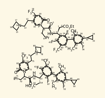 CCOC(=O)C[C@H](NC(=O)C(CC(C)C)n1cc(CCN2CCC2)c(C(F)(F)F)cc1=O)c1c(F)c(-c2c(C)cc(C3CC3)c(F)c2C)cc(C(F)(F)F)c1F.Cc1cc(C2CC2)c(F)c(C)c1-c1cc(C(F)(F)F)c(F)c([C@H](CC(=O)O)NC(=O)C(CC(C)C)n2cc(CCN3CCC3)c(C(F)(F)F)cc2=O)c1F